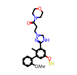 COc1ccccc1-c1cc(OS)cc(C2=NN(CCC(=O)N3CCOCC3)CN2)c1C